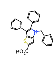 O=C(O)c1cc2c(s1)c(-c1ccccc1)c(-c1ccccc1)n2Cc1ccccc1